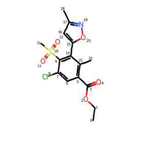 CCOC(=O)c1cc(Cl)c(S(C)(=O)=O)c(-c2cc(C)no2)c1C